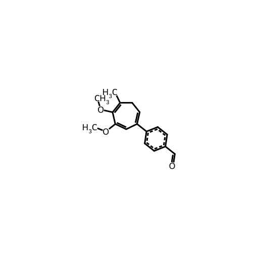 COC1=CC(c2ccc(C=O)cc2)=CCC(C)=C1OC